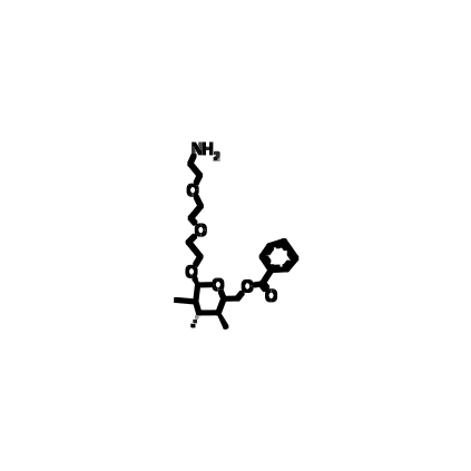 CC1[C@@H](OCCOCCOCCN)OC(COC(=O)c2ccccc2)[C@@H](C)[C@@H]1C